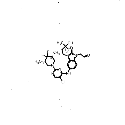 C[C@@H]1CN(c2ncc(Cl)c(Nc3ccc4c(c3)n(CCC(C)(C)O)c(=O)n4CC=O)n2)C[C@H](C)C1(F)F